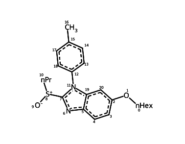 CCCCCCOc1ccc2nc([S+]([O-])CCC)n(-c3ccc(C)cc3)c2c1